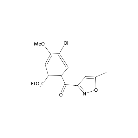 CCOC(=O)c1cc(OC)c(O)cc1C(=O)c1cc(C)on1